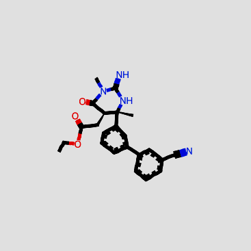 CCOC(=O)C[C@H]1C(=O)N(C)C(=N)N[C@]1(C)c1cccc(-c2cccc(C#N)c2)c1